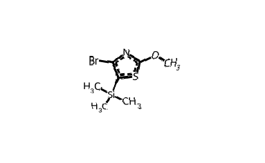 COc1nc(Br)c([Si](C)(C)C)s1